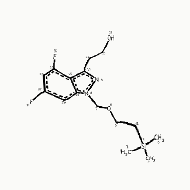 C[Si](C)(C)CCOCn1nc(CCO)c2c(F)cc(F)cc21